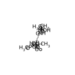 CCCCO[C@@H]1C(NC(=O)CCCCCCC(=O)NC[C@H]2OC(O)C3OC(C)(C)O[C@@H]32)[C@H](Sc2ccc(OC)cc2)OC2COC(c3ccccc3)O[C@@H]21